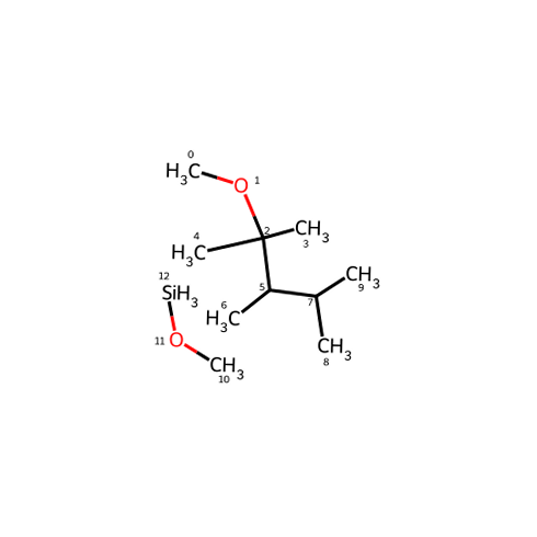 COC(C)(C)C(C)C(C)C.CO[SiH3]